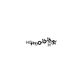 C=C(O)C(C)(C)COc1ccc(-c2ccc(-c3ncc(-c4cc(C)no4)[nH]3)cn2)cc1